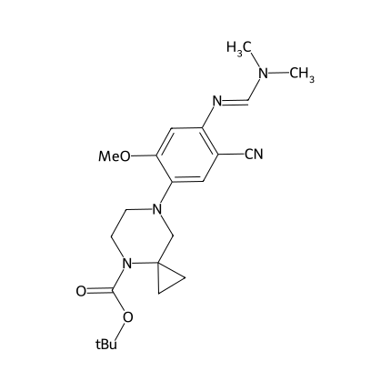 COc1cc(N=CN(C)C)c(C#N)cc1N1CCN(C(=O)OC(C)(C)C)C2(CC2)C1